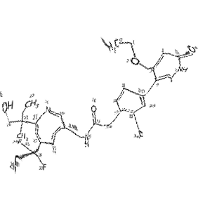 CCOc1cc(=O)[nH]cc1-c1ccc(CC(=O)Nc2cnc(C(C)(C)CO)c(C(F)(F)F)c2)c(F)c1